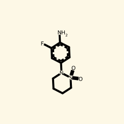 Nc1ccc(N2CCCCS2(=O)=O)cc1F